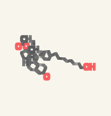 CC(=O)O[C@H]1CC[C@H]2[C@@H]3CCC4=CC(=O)CCC4=C3[C@@H](c3ccc(CCCCCCCCO)cc3)C[C@]12C